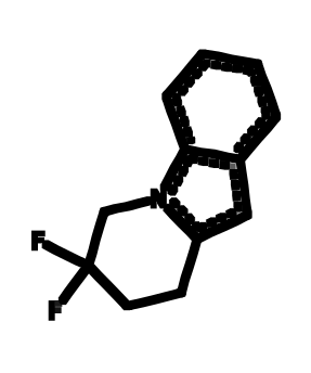 FC1(F)CCc2cc3ccccc3n2C1